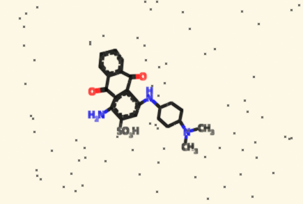 CN(C)C1CCC(Nc2cc(S(=O)(=O)O)c(N)c3c2C(=O)c2ccccc2C3=O)CC1